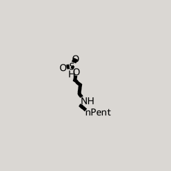 CCCCCCNCCCO[SH](=O)=O